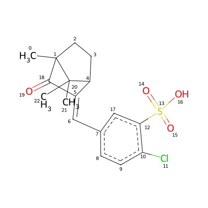 CC12CCC(C(=Cc3ccc(Cl)c(S(=O)(=O)O)c3)C1=O)C2(C)C